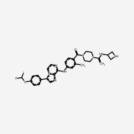 C=C(NC1CNC1)N1CCN(C(=O)c2ccc(Nc3nccn4c(-c5ccc(OC(F)I)cc5)cnc34)cc2C)CC1